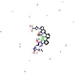 COc1nc(-c2cccc(-c3cccc(-c4cc5c(c(OC)n4)[C@@H](N4CC(C(=O)O)C4)CC5)c3Cl)c2Cl)cnc1CN1C[C@@H](O)[C@@H]1C